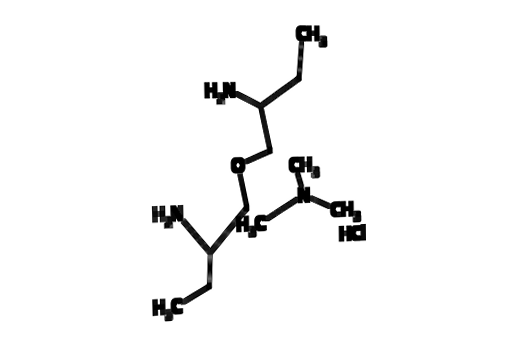 CCC(N)COCC(N)CC.CN(C)C.Cl